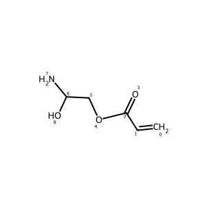 C=CC(=O)OCC(N)O